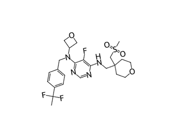 CC(F)(F)c1ccc(CN(c2ncnc(NCC3(CS(C)(=O)=O)CCOCC3)c2F)C2COC2)cc1